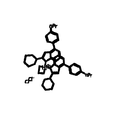 CCCc1ccc(-c2cccc3c2C=C(C2CCCCC2)[CH]3[Hf+2]2([CH]3C(C4CCCCC4)=Cc4c(-c5ccc(CCC)cc5)cccc43)[CH2]C[CH2]2)cc1.[Cl-].[Cl-]